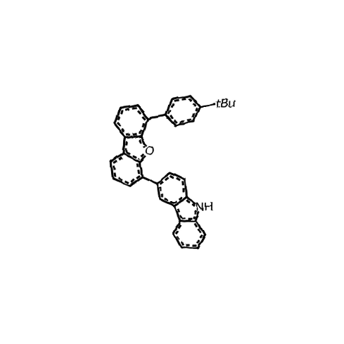 CC(C)(C)c1ccc(-c2cccc3c2oc2c(-c4ccc5[nH]c6ccccc6c5c4)cccc23)cc1